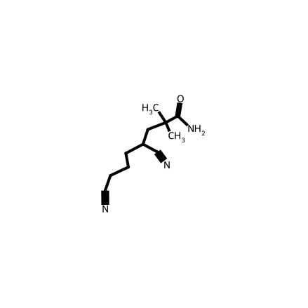 CC(C)(CC(C#N)CCCC#N)C(N)=O